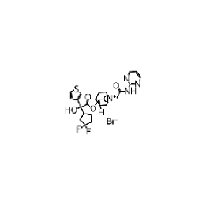 O=C(C[N+]12CCC(CC1)[C@@H](OC(=O)C(O)(c1ccsc1)C1CCC(F)(F)C1)C2)Nc1ncccn1.[Br-]